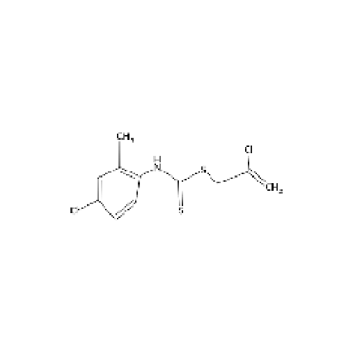 C=C(Cl)CSC(=S)Nc1ccc(Cl)cc1C